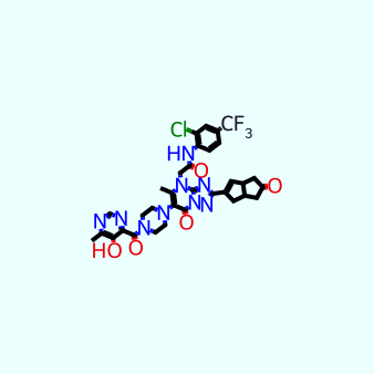 Cc1ncnc(C(=O)N2CCN(c3c(C)n(CC(=O)Nc4ccc(C(F)(F)F)cc4Cl)c4nc(C5=CC6CC(=O)CC6C5)nn4c3=O)CC2)c1O